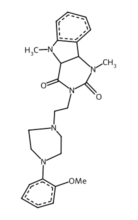 COc1ccccc1N1CCN(CCN2C(=O)C3C(c4ccccc4N3C)N(C)C2=O)CC1